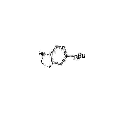 CCCCc1ccc2c(c1)CCN2